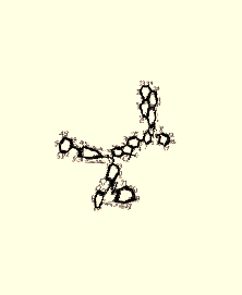 CC1(C)c2cc(-c3ccc4c(c3)c3c(n4-c4ccccc4)CC4C=CC5=C6C4=C3CCC6CC=C5)ccc2-c2ccc(N(c3ccc(-c4ccccc4)cc3)c3ccc(N(c4ccccc4)c4ccccc4)cc3)cc21